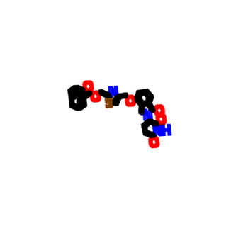 O=C1CCC(N2Cc3c(OCc4csc(COC(=O)C56CC7CC(CC(C7)C5)C6)n4)cccc3C2=O)C(=O)N1